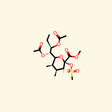 CC[C@@H](OC(C)=O)[C@@H](OC(C)=O)C1O[C@](OS(C)(=O)=O)(C(=O)OC)C(F)[C@@H](C)[C@H]1C